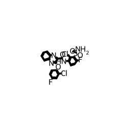 NS(=O)(=O)c1c(F)ccc(NC(=O)c2nc3ccccc3nc2Oc2ccc(F)cc2Cl)c1Cl